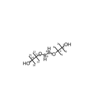 CC(C)(O)C(C)(C)OBBOC(C)(C)C(C)(C)O